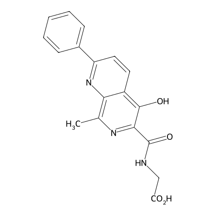 Cc1nc(C(=O)NCC(=O)O)c(O)c2ccc(-c3ccccc3)nc12